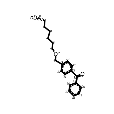 CCCCCCCCCCCCCCCCOCc1ccc(C(=O)c2ccccc2)cc1